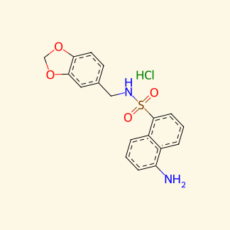 Cl.Nc1cccc2c(S(=O)(=O)NCc3ccc4c(c3)OCO4)cccc12